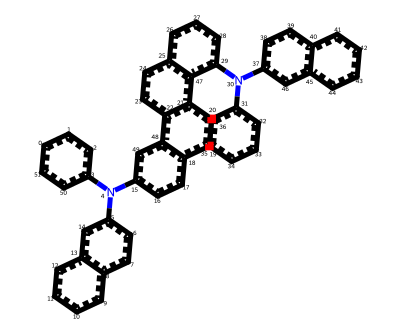 c1ccc(N(c2ccc3ccccc3c2)c2ccc3ccc4c(ccc5cccc(N(c6ccccc6)c6ccc7ccccc7c6)c54)c3c2)cc1